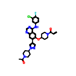 C=CC(=O)N1CCC(Oc2cc3c(Nc4ccc(F)c(Cl)c4)ncnc3cc2-c2cnn(C3CCN(C(C)=O)CC3)c2)CC1